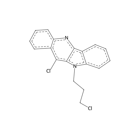 ClCCCn1c2ccccc2c2nc3ccccc3c(Cl)c21